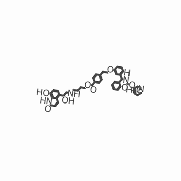 O=C(NC(c1ccccc1)c1cccc(OCCc2ccc(C(=O)OCCCCNCC(O)c3ccc(O)c4[nH]c(=O)ccc34)cc2)c1)O[C@H]1CN2CCC1CC2